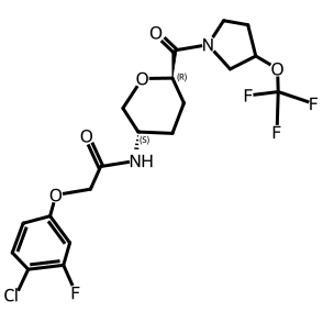 O=C(COc1ccc(Cl)c(F)c1)N[C@H]1CC[C@H](C(=O)N2CCC(OC(F)(F)F)C2)OC1